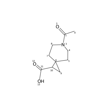 CC(=O)N1CCC2(CC1)CC2C(=O)O